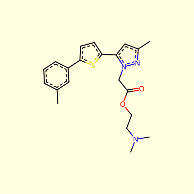 Cc1cccc(-c2ccc(-c3cc(C)nn3CC(=O)OCCN(C)C)s2)c1